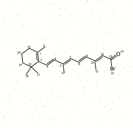 CC1=C(/C=C/C(C)=C/C=C/C(C)=C/C(=O)Br)C(C)(C)CCC1